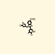 Cc1cc(-c2nc3cc(C=O)ccc3n2CC2CC(=O)N(C)C2)c[nH]c1=O